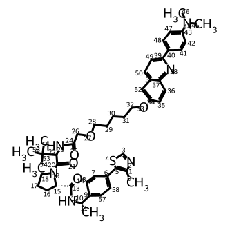 Cc1ncsc1-c1ccc([C@H](C)NC(=O)[C@@H]2CCCN2C(=O)C(NC(=O)COCCCCCOc2ccc3nc(-c4ccc(N(C)C)cc4)ccc3c2)C(C)(C)C)cc1